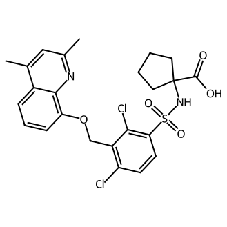 Cc1cc(C)c2cccc(OCc3c(Cl)ccc(S(=O)(=O)NC4(C(=O)O)CCCC4)c3Cl)c2n1